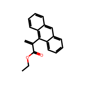 C=C(C(=O)OCC)c1c2ccccc2cc2ccccc12